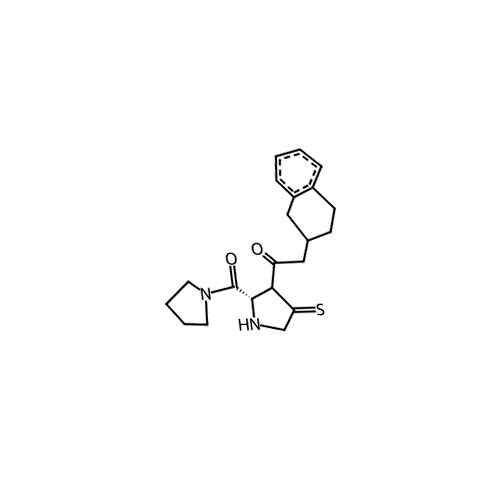 O=C(CC1CCc2ccccc2C1)C1C(=S)CN[C@@H]1C(=O)N1CCCC1